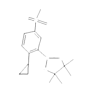 CC1(C)OB(c2cc(S(C)(=O)=O)ccc2C2CC2)OC1(C)C